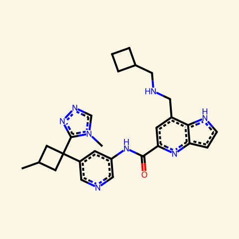 CC1CC(c2cncc(NC(=O)c3cc(CNCC4CCC4)c4[nH]ccc4n3)c2)(c2nncn2C)C1